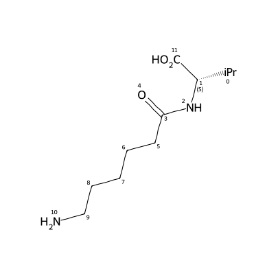 CC(C)[C@H](NC(=O)CCCCCN)C(=O)O